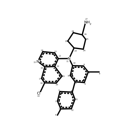 Cc1ccc(-c2cc(C)cc(N(c3ccnc4cc(Cl)ccc34)C3CCC(N)CC3)c2)cc1